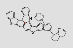 c1cc(-c2ccc(-c3cccc4ccccc34)cc2)cc(N(c2ccccc2-c2cccc3sc4ccccc4c23)c2cccc3sc4ccccc4c23)c1